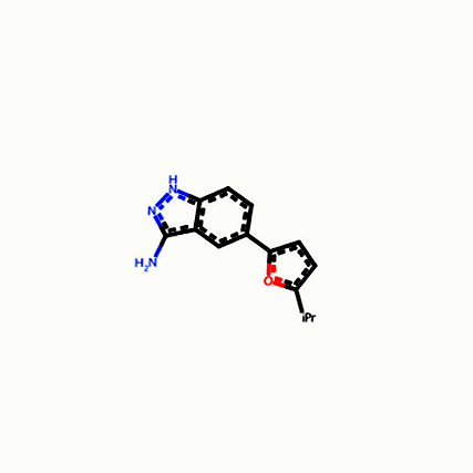 CC(C)c1ccc(-c2ccc3[nH]nc(N)c3c2)o1